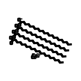 CCCCCCCCCCCCCCCCCCCCCC(=O)[O-].CCCCCCCCCCCCCCCCCCCCCC(=O)[O-].CCCCCCCCCCCCCCCCCCCCCC(=O)[O-].CCCCCCCCCCCCCCCCCCCCCC(=O)[O-].[Ca+2].[Ca+2]